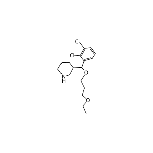 CCOCCCOC(c1cccc(Cl)c1Cl)[C@@H]1CCCNC1